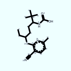 CCC(CCC(NC(=O)O)C(C)(C)C)Sc1nc(C)ccc1C#N